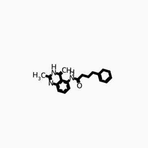 C=C1NC(C)=Nc2cccc(NC(=O)CCCC3=CC=CCC3)c21